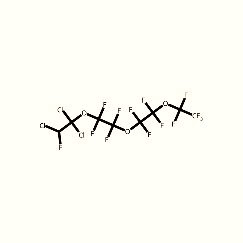 FC(Cl)C(Cl)(Cl)OC(F)(F)C(F)(F)OC(F)(F)C(F)(F)OC(F)(F)C(F)(F)F